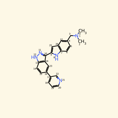 CN(C)Cc1ccc2[nH]c(-c3n[nH]c4ccc(-c5cccnc5)cc34)cc2c1